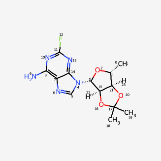 [CH][C@H]1O[C@@H](n2cnc3c(N)nc(F)nc32)[C@@H]2OC(C)(C)O[C@@H]21